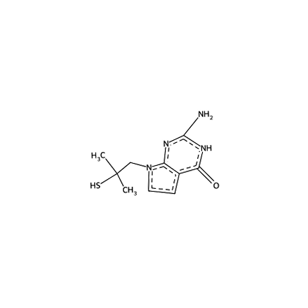 CC(C)(S)Cn1ccc2c(=O)[nH]c(N)nc21